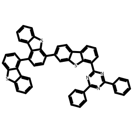 c1ccc(-c2nc(-c3ccccc3)nc(-c3cccc4c3sc3cc(-c5ccc(-c6cccc7sc8ccccc8c67)c6c5sc5ccccc56)ccc34)n2)cc1